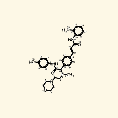 CN(CCN1CCOCC1)C(C(=O)Nc1ccc(C#N)cc1)c1ccc(/C=C/C(=O)Nc2ccccc2N)cc1